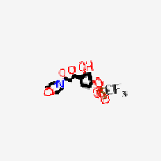 O=C(CC(=O)N1CCOCC1)c1ccc(OS(=O)(=O)C(F)(F)F)cc1O